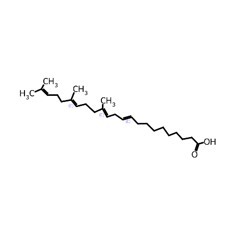 CC(C)=CCC/C(C)=C/CC/C(C)=C/C/C=C/CCCCCCCCC(=O)O